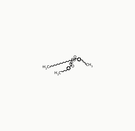 [CH2]CCCCCCCCCCCCCC[C](OOC(=O)c1ccc(CCCCC)cc1)OOC(=O)c1ccc(CCCCC)cc1